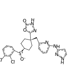 O=c1[nH]nc([C@]2(Cc3cccc(Nc4cc[nH]n4)n3)CC[C@@H]([S+]([O-])c3cccc(Cl)c3Cl)CC2)o1